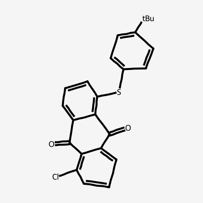 CC(C)(C)c1ccc(Sc2cccc3c2C(=O)c2cccc(Cl)c2C3=O)cc1